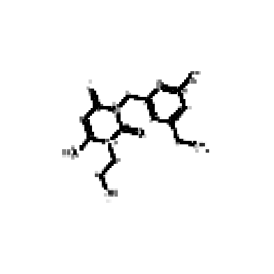 Cc1cc(=O)n(Cc2cc(CN)cc(C(F)(F)F)n2)c(=O)n1CCO